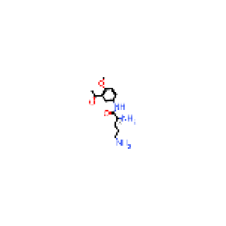 COc1ccc(NC(=O)[C@@H](N)CCCN)cc1C(C)=O